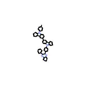 Cc1ccc(-n2c3ccccc3c3cc(-c4ccc5c(c4)c4ccccc4n5-c4ccc(-c5nc6ccccc6nc5-c5ccccc5)cc4)ccc32)cc1